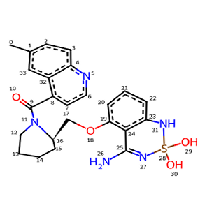 Cc1ccc2nccc(C(=O)N3CCCC[C@@H]3COc3cccc4c3C(N)=NS(O)(O)N4)c2c1